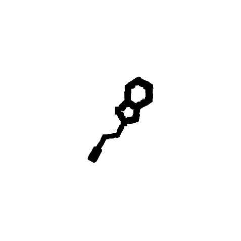 C#CCCn1cc2ccccc2n1